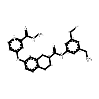 CNC(=O)c1cc(Oc2ccc3c(c2)CC(C(=O)Nc2cc(CN)cc(CF)c2)CC3)ccn1